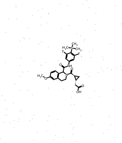 COc1ccc2c(c1)CCN(C(=O)[C@H]1C[C@@H]1CC(=O)O)C2C(=O)Nc1cc(F)c([Si](C)(C)C)c(F)c1